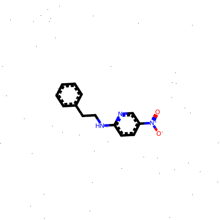 O=[N+]([O-])c1ccc(NCCc2ccccc2)nc1